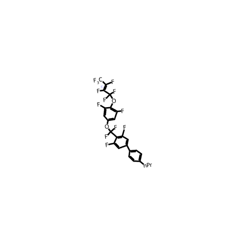 CCCc1ccc(-c2cc(F)c(C(F)(F)Oc3cc(F)c(OC(F)(F)/C(F)=C(\F)C(F)(F)F)c(F)c3)c(F)c2)cc1